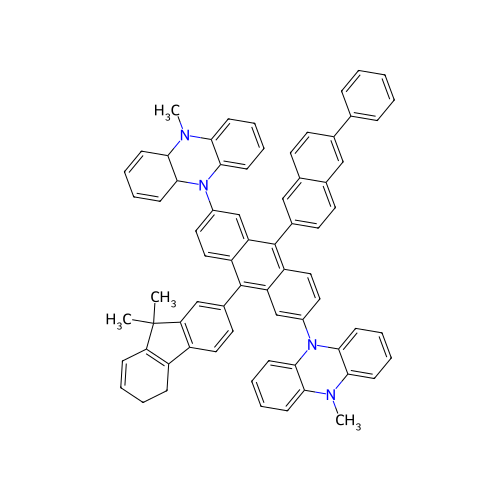 CN1c2ccccc2N(c2ccc3c(-c4ccc5cc(-c6ccccc6)ccc5c4)c4cc(N5c6ccccc6N(C)C6C=CC=CC65)ccc4c(-c4ccc5c(c4)C(C)(C)C4=C5CCC=C4)c3c2)c2ccccc21